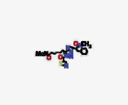 CNC(=O)CCCCC[C@H](NC(=O)c1cncs1)c1ncc(-c2cc3ccccc3n(C)c2=O)[nH]1